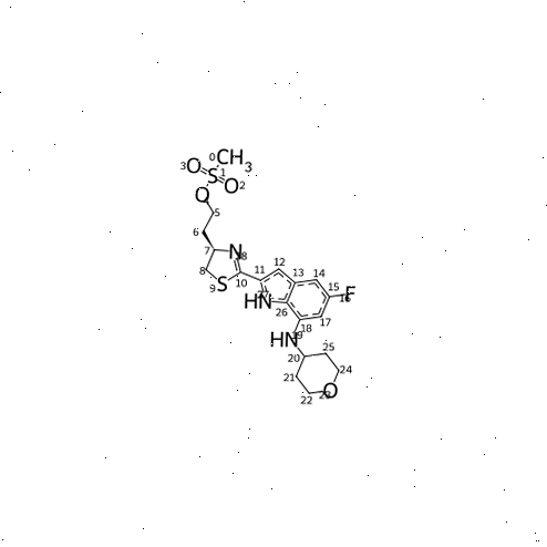 CS(=O)(=O)OCC[C@@H]1CSC(c2cc3cc(F)cc(NC4CCOCC4)c3[nH]2)=N1